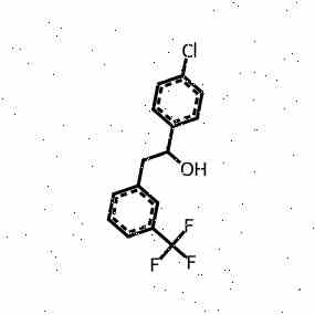 OC(Cc1cccc(C(F)(F)F)c1)c1ccc(Cl)cc1